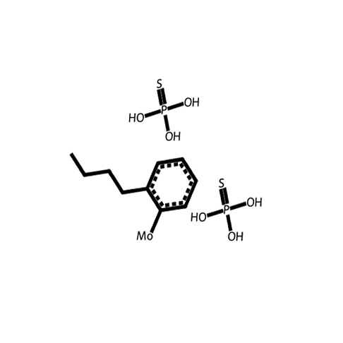 CCCCc1cccc[c]1[Mo].OP(O)(O)=S.OP(O)(O)=S